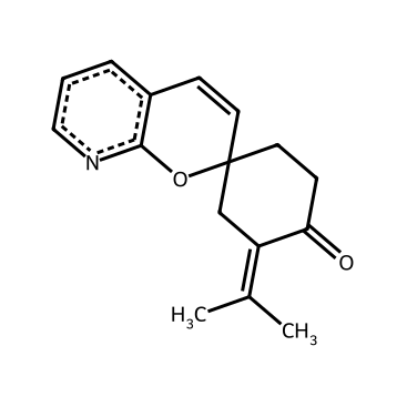 CC(C)=C1CC2(C=Cc3cccnc3O2)CCC1=O